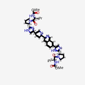 COC(=O)N[C@H](C(=O)N1CCC[C@H]1c1nc(-c2ccc(-c3cc4ccc(-c5cnc([C@@H]6CCCN6C(=O)[C@@H](NC(=O)OC)C(C)C)[nH]5)cc4cn3)nc2)c[nH]1)C(C)C